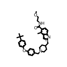 COCCNC(=O)c1ccc2nn(CC3CCN(Cc4ccc(Oc5ccc(C(C)(C)C)cc5)cc4)CC3)cc2c1C